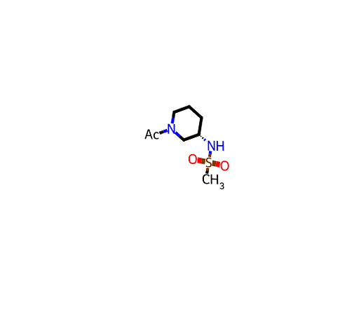 CC(=O)N1CCC[C@H](NS(C)(=O)=O)C1